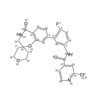 O=C(Nc1ccc(F)c(-c2ccc3c(c2)OC2(CCOCC2)CNC3=O)c1)c1ccnc(C(F)(F)F)c1